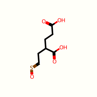 O=S=CCC(CCC(=O)O)C(=O)O